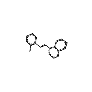 Cc1ccccc1C=Cc1cccc2ccccc12